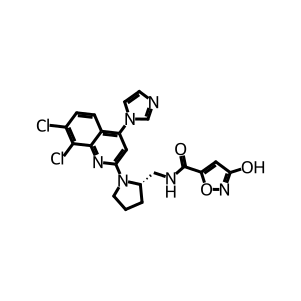 O=C(NC[C@@H]1CCCN1c1cc(-n2ccnc2)c2ccc(Cl)c(Cl)c2n1)c1cc(O)no1